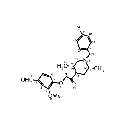 COc1cc(C=O)ccc1OCC(=O)N1C[C@H](C)N(Cc2ccc(F)cc2)C[C@H]1C